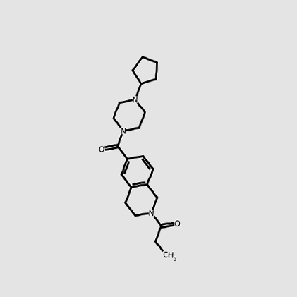 CCC(=O)N1CCc2cc(C(=O)N3CCN(C4CCCC4)CC3)ccc2C1